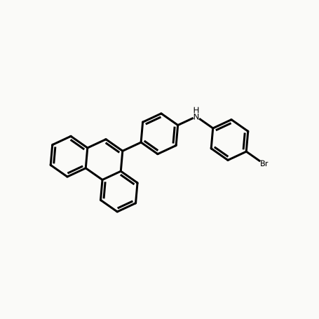 Brc1ccc(Nc2ccc(-c3cc4ccccc4c4ccccc34)cc2)cc1